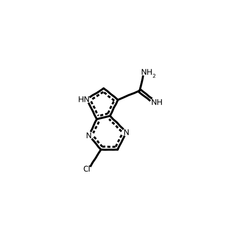 N=C(N)c1c[nH]c2nc(Cl)cnc12